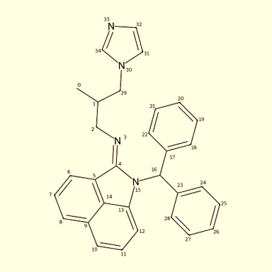 CC(CN=C1c2cccc3cccc(c23)N1C(c1ccccc1)c1ccccc1)Cn1ccnc1